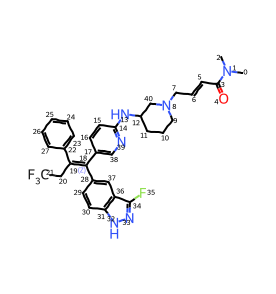 CN(C)C(=O)C=CCN1CCCC(Nc2ccc(/C(=C(/CC(F)(F)F)c3ccccc3)c3ccc4[nH]nc(F)c4c3)cn2)C1